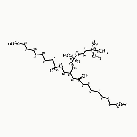 CCCCCCCCCCCCCCCCCC(=O)CC(COC(=O)CCCCCCCCCCCCCCCCC)COP(=O)(O)OCC[N+](C)(C)C